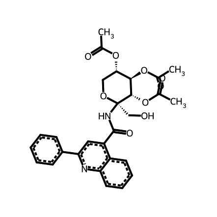 CC(=O)O[C@@H]1[C@@H](OC(C)=O)CO[C@](CO)(NC(=O)c2cc(-c3ccccc3)nc3ccccc23)[C@H]1OC(C)=O